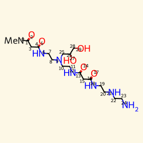 CNC(=O)CC(=O)NCCN(CCNC(=O)CC(=O)NCCNCCN)CC(O)CO